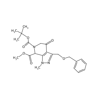 COC(=O)C1c2c(c(COCc3ccccc3)nn2C)C(=O)CN1C(=O)OC(C)(C)C